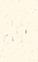 O=C(O)C(C(=O)O)C(c1ccccc1)N(CCO)CCO